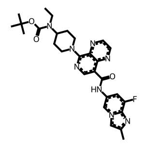 CCN(C(=O)OC(C)(C)C)C1CCN(c2ncc(C(=O)Nc3cc(F)c4nc(C)cn4c3)c3nccnc23)CC1